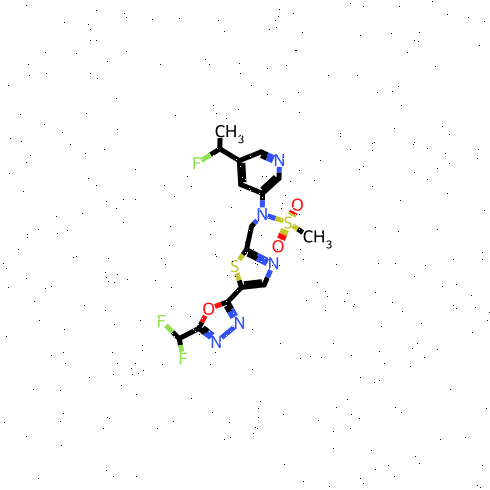 CC(F)c1cncc(N(Cc2ncc(-c3nnc(C(F)F)o3)s2)S(C)(=O)=O)c1